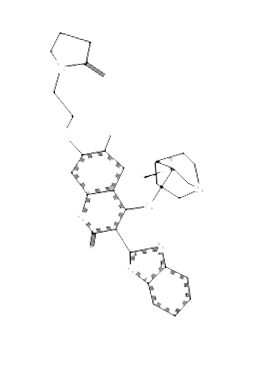 O=C1CCCN1CCOc1cc2[nH]c(=O)c(-c3nc4ccccc4[nH]3)c(N[C@H]3CN4CCC3CC4)c2cc1F